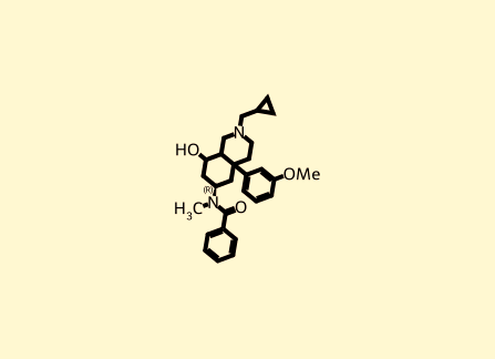 COc1cccc(C23CCN(CC4CC4)CC2C(O)C[C@H](N(C)C(=O)c2ccccc2)C3)c1